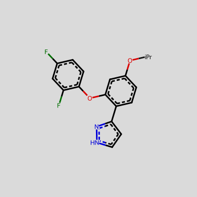 CC(C)Oc1ccc(-c2cc[nH]n2)c(Oc2ccc(F)cc2F)c1